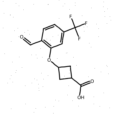 O=Cc1ccc(C(F)(F)F)cc1OC1CC(C(=O)O)C1